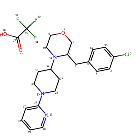 Clc1ccc(CC2COCCN2C2CCN(c3ccccn3)CC2)cc1.O=C(O)C(F)(F)F